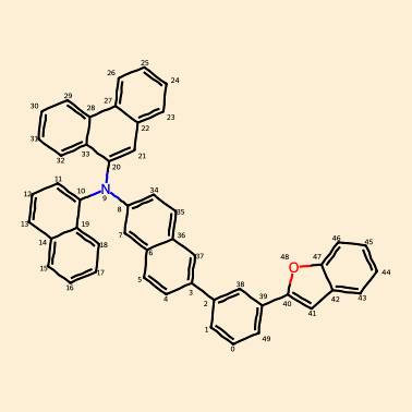 c1cc(-c2ccc3cc(N(c4cccc5ccccc45)c4cc5ccccc5c5ccccc45)ccc3c2)cc(-c2cc3ccccc3o2)c1